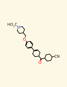 N#CC1CCC(C(=O)C2CC=C(c3ccc(OCC4CCN(C(=O)O)CC4)cc3)CC2)CC1